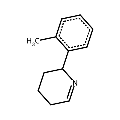 Cc1ccccc1C1CCCC=N1